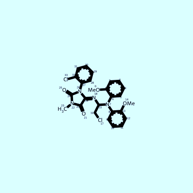 COc1ccccc1N(c1ccccc1OC)C(CCl)N=C1C(=O)N(C)C(=O)N1c1ccccc1Cl